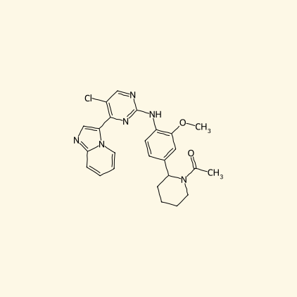 COc1cc(C2CCCCN2C(C)=O)ccc1Nc1ncc(Cl)c(-c2cnc3ccccn23)n1